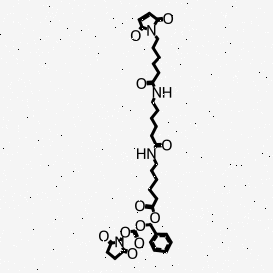 O=C(CCCCCNC(=O)CCCCCN1C(=O)C=CC1=O)NCCCCCC(=O)OC(OC(=O)ON1C(=O)CCC1=O)c1ccccc1